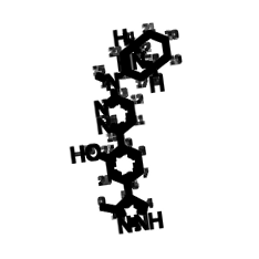 Cc1n[nH]cc1-c1ccc(-c2ccc(N(C)[C@@H]3C[C@H]4CCC[C@@H](C3)N4)nn2)c(O)c1